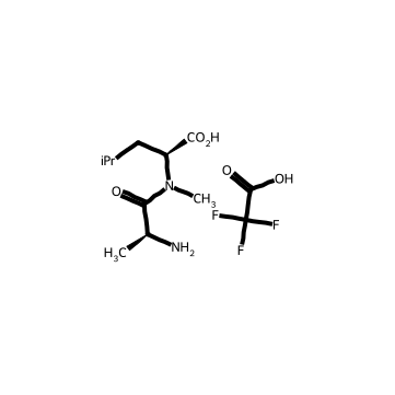 CC(C)C[C@@H](C(=O)O)N(C)C(=O)[C@H](C)N.O=C(O)C(F)(F)F